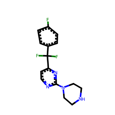 Fc1ccc(C(F)(F)c2ccnc(N3CCNCC3)n2)cc1